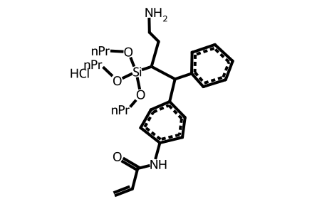 C=CC(=O)Nc1ccc(C(c2ccccc2)C(CCN)[Si](OCCC)(OCCC)OCCC)cc1.Cl